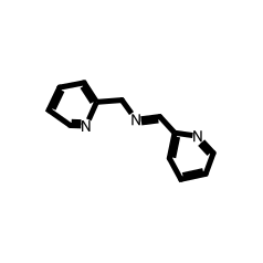 C(=NCc1ccccn1)c1ccccn1